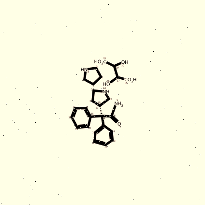 C1CCNC1.NC(=O)C(c1ccccc1)(c1ccccc1)[C@@H]1CCNC1.O=C(O)C(O)C(O)C(=O)O